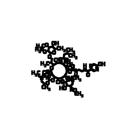 CCN1C[C@H](C)O[C@@H](O[C@H]2[C@H](C)[C@@H](O[C@@H]3O[C@H](C)CC(=NOC)[C@H]3O)[C@@H](C)C[C@](C)(OC(=O)NCCNC(=O)c3cnc(O)cn3)C(=O)[C@H](C)[C@H](OC(=O)CC(C)C)[C@@H](C)C([C@@H](C)CO[C@@H]3O[C@H](C)[C@@H](O)[C@@H](OC)[C@H]3OC)OC(=O)[C@@H]2C)C[C@H]1C